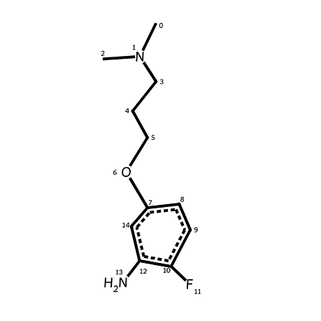 CN(C)CCCOc1ccc(F)c(N)c1